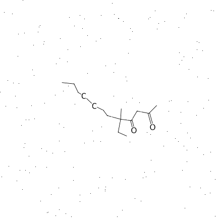 CCCCCCCC(C)(CC)C(=O)CC(C)=O